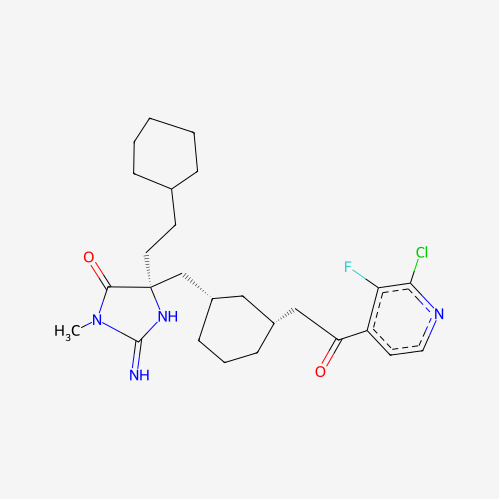 CN1C(=N)N[C@](CCC2CCCCC2)(C[C@H]2CCC[C@@H](CC(=O)c3ccnc(Cl)c3F)C2)C1=O